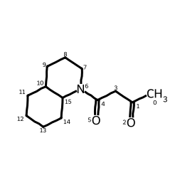 CC(=O)CC(=O)N1CCCC2CCCCC21